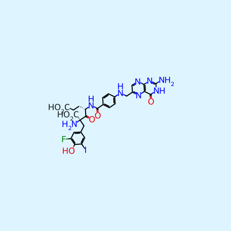 Nc1nc2ncc(CNc3ccc(C(=O)N[C@@H](CCC(=O)O)C(=O)[C@](N)(Cc4cc(F)c(O)c(I)c4)C(=O)O)cc3)nc2c(=O)[nH]1